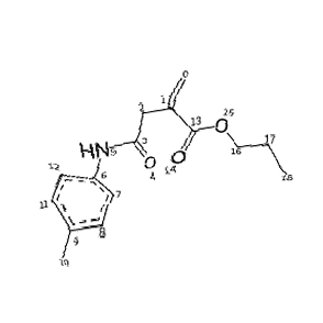 C=C(CC(=O)Nc1ccc(C)cc1)C(=O)OCCC